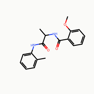 COc1ccccc1C(=O)NC(C)C(=O)Nc1ccccc1C